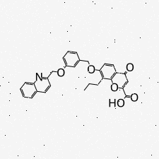 CCCc1c(OCc2cccc(OCc3ccc4ccccc4n3)c2)ccc2c(=O)cc(C(=O)O)oc12